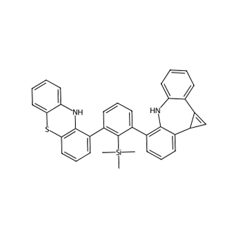 C[Si](C)(C)c1c(-c2cccc3c2Nc2ccccc2S3)cccc1-c1cccc2c1Nc1ccccc1C1=CC12